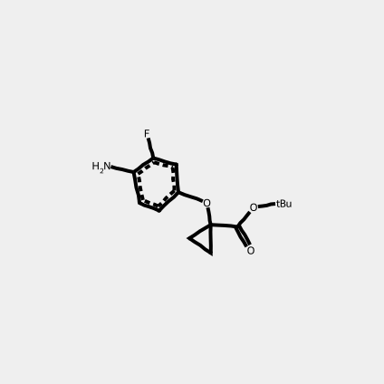 CC(C)(C)OC(=O)C1(Oc2ccc(N)c(F)c2)CC1